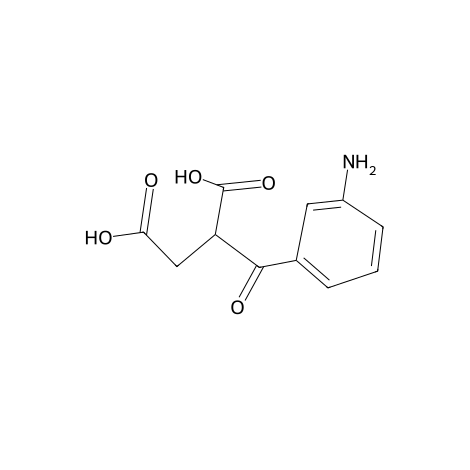 Nc1cccc(C(=O)C(CC(=O)O)C(=O)O)c1